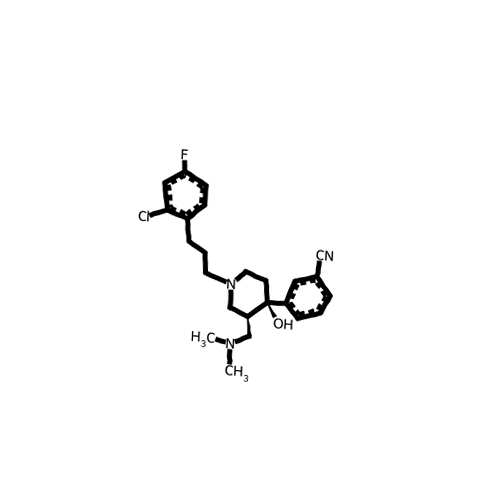 CN(C)C[C@H]1CN(CCCc2ccc(F)cc2Cl)CC[C@]1(O)c1cccc(C#N)c1